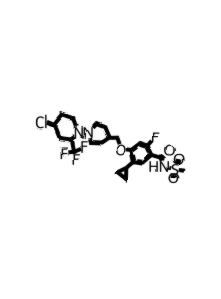 CS(=O)(=O)NC(=O)c1cc(C2CC2)c(OCC2CCN(N3CCC(Cl)CC3C(F)(F)F)CC2)cc1F